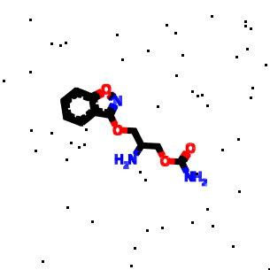 NC(=O)OCC(N)COc1noc2ccccc12